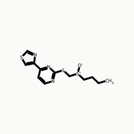 CCCC[S+]([O-])CSc1nccc(-c2cs[c]n2)n1